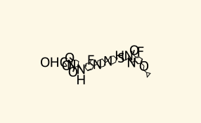 O=CON1C(=O)CCC(Nc2ccc(N3CCC(N4CCC(SCc5nc6cc(OCC7CC7)cc(F)c6c(=O)[nH]5)CC4)CC3)c(F)c2)C1=O